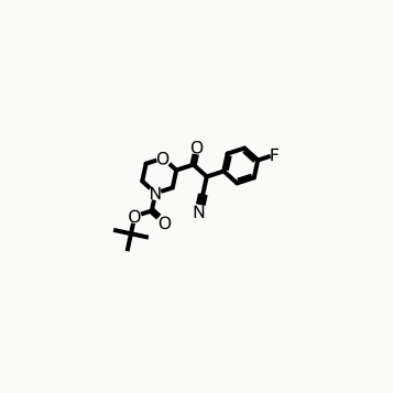 CC(C)(C)OC(=O)N1CCOC(C(=O)C(C#N)c2ccc(F)cc2)C1